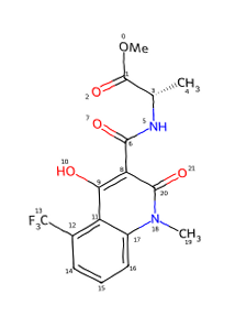 COC(=O)[C@H](C)NC(=O)c1c(O)c2c(C(F)(F)F)cccc2n(C)c1=O